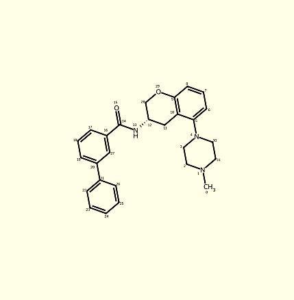 CN1CCN(c2cccc3c2C[C@H](NC(=O)c2cccc(-c4ccccc4)c2)CO3)CC1